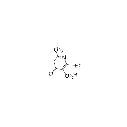 CCC1=C(C(=O)O)C(=O)CC(C)=N1